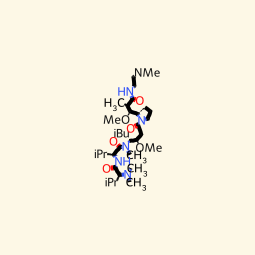 CC[C@H](C)[C@@H]([C@H](CC(=O)N1CCC[C@H]1[C@H](OC)[C@@H](C)C(=O)NCCNC)OC)N(C)C(=O)[C@@H](NC(=O)[C@H](C(C)C)N(C)C)C(C)C